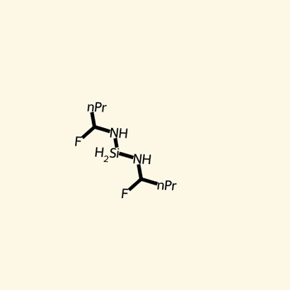 CCCC(F)N[SiH2]NC(F)CCC